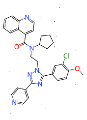 COc1ccc(-c2nc(-c3ccncc3)nn2CCN(C(=O)c2ccnc3ccccc23)C2CCCC2)cc1Cl